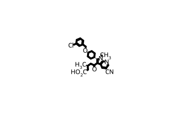 C[C@H](CC(=O)O)CC(=O)c1c2cc(C#N)cnc2n(C)c1[C@H]1CC[C@@H](OCc2cccc(Cl)c2)CC1